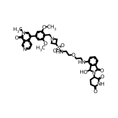 COc1cc(-c2cn(C)c(=O)c3cnccc23)cc(OC)c1CN1CC(S(=O)(=O)NCCOCCNc2cccc3c2C(O)N(C2CCC(=O)NC2=O)C3=O)C1